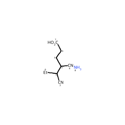 CCC(C#N)C(C#N)CCC(=O)O.N